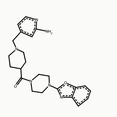 Nc1cc(CN2CCC(C(=O)N3CCN(c4nc5ccccc5o4)CC3)CC2)ccn1